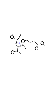 C=C(OCCCC(=O)OC)/C(=C\C(=C\C)C(C)=O)OC